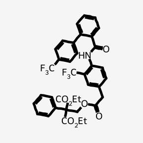 CCOC(=O)C(COC(=O)Cc1ccc(NC(=O)c2ccccc2-c2ccc(C(F)(F)F)cc2)c(C(F)(F)F)c1)(C(=O)OCC)c1ccccc1